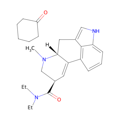 CCN(CC)C(=O)[C@@H]1C=C2c3cccc4[nH]cc(c34)C[C@H]2N(C)C1.O=C1CCCCC1